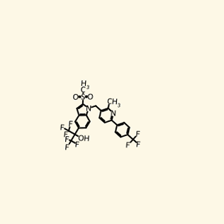 Cc1nc(-c2ccc(C(F)(F)F)cc2)ccc1Cn1c(S(C)(=O)=O)cc2cc(C(O)(C(F)(F)F)C(F)(F)F)ccc21